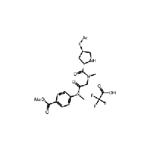 COC(=O)c1ccc(N(C)C(=O)CN(C)C(=O)[C@@H]2C[C@@H](SC(C)=O)CN2)cc1.O=C(O)C(F)(F)F